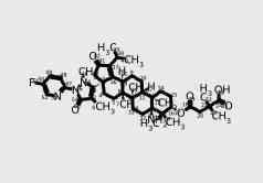 Cc1c([C@@]23CC[C@]4(C)[C@H](CC[C@@H]5[C@@]6(C)CC[C@H](OC(=O)CC(C)(C)C(=O)O)C(C)(C)[C@]6(N)CC[C@]54C)C2=C(C(C)C)C(=O)C3)n(C)n(-c2ccc(F)cn2)c1=O